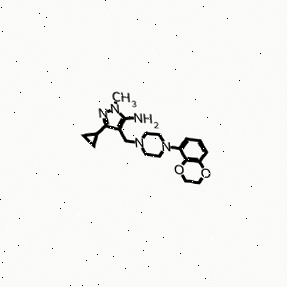 Cn1nc(C2CC2)c(CN2CCN(c3cccc4c3OCCO4)CC2)c1N